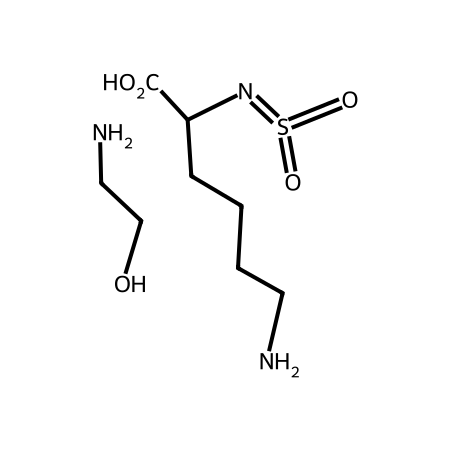 NCCCCC(N=S(=O)=O)C(=O)O.NCCO